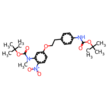 CN(C(=O)OC(C)(C)C)c1cc(OCCc2ccc(NC(=O)OC(C)(C)C)cc2)ccc1[N+](=O)[O-]